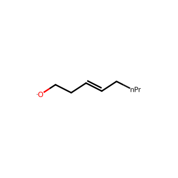 CCCC/C=C/CC[O]